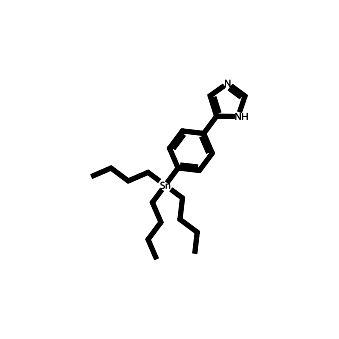 CCC[CH2][Sn]([CH2]CCC)([CH2]CCC)[c]1ccc(-c2cnc[nH]2)cc1